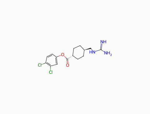 N=C(N)NC[C@H]1CC[C@H](C(=O)Oc2ccc(Cl)c(Cl)c2)CC1